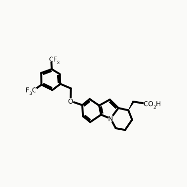 O=C(O)C[C@H]1CCCn2c1cc1cc(OCc3cc(C(F)(F)F)cc(C(F)(F)F)c3)ccc12